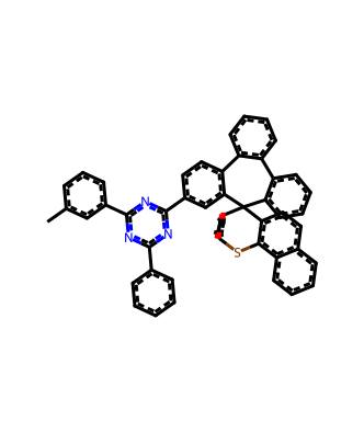 Cc1cccc(-c2nc(-c3ccccc3)nc(-c3ccc4c(c3)C3(c5ccccc5Sc5c3ccc3ccccc53)c3ccccc3-c3ccccc3-4)n2)c1